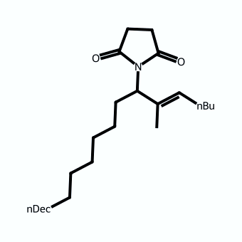 CCCCC=C(C)C(CCCCCCCCCCCCCCCC)N1C(=O)CCC1=O